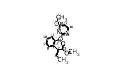 CC=C(C(=O)OC)c1ccccc1Oc1nccc(OC)n1